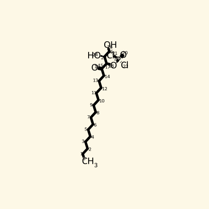 CCCCCCCCCCCCCCCC(=O)C(OP(=O)(Cl)Cl)[C@@H](O)CO